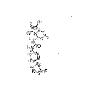 Cc1cc2c(c([C@@H](C)C(=O)Nc3ccc(-c4cncc(F)c4)nn3)c1)C(=O)N(C)C2=O